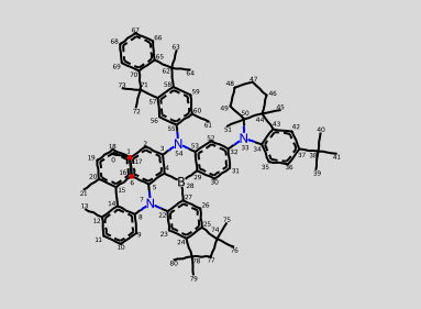 Cc1cc2c3c(c1)N(c1cccc(C)c1-c1ccccc1C)c1cc4c(cc1B3c1ccc(N3c5ccc(C(C)(C)C)cc5C5(C)CCCCC35C)cc1N2c1cc2c(cc1C)C(C)(C)c1ccccc1C2(C)C)C(C)(C)CC4(C)C